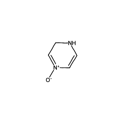 [O-][N+]1=CCNC=C1